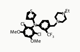 CCN1CCN(Cc2ccc(N(c3ccsc3)c3c(Cl)c(OC)cc(OC)c3Cl)cc2C(F)(F)F)CC1